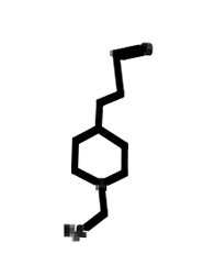 CCN1CCC(CC[C]=O)CC1